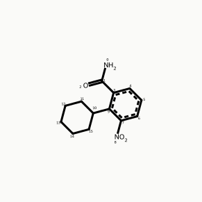 NC(=O)c1cccc([N+](=O)[O-])c1C1CCCCC1